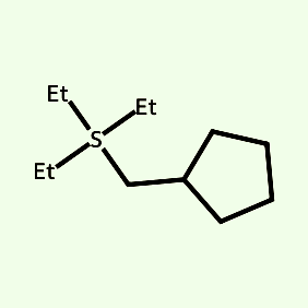 CCS(CC)(CC)CC1CCCC1